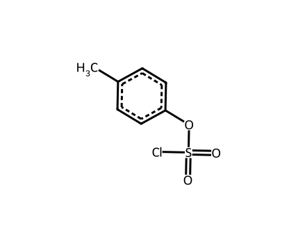 Cc1ccc(OS(=O)(=O)Cl)cc1